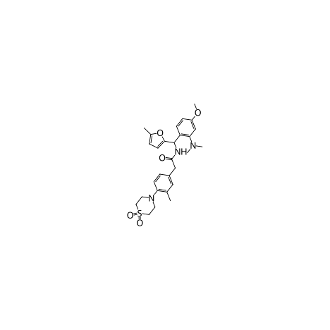 COc1ccc(C(NC(=O)Cc2ccc(N3CCS(=O)(=O)CC3)c(C)c2)c2ccc(C)o2)c(N(C)C)c1